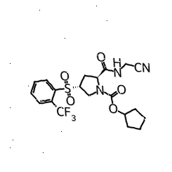 N#CCNC(=O)[C@@H]1C[C@@H](S(=O)(=O)c2ccccc2C(F)(F)F)CN1C(=O)OC1CCCC1